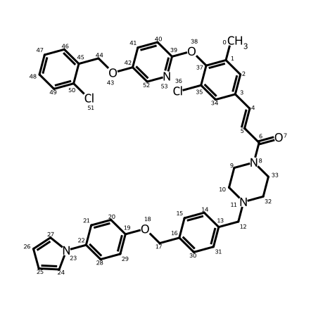 Cc1cc(/C=C/C(=O)N2CCN(Cc3ccc(COc4ccc(-n5cccc5)cc4)cc3)CC2)cc(Cl)c1Oc1ccc(OCc2ccccc2Cl)cn1